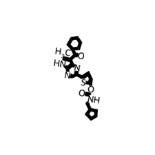 CC1(C(=O)c2c[nH]c3ncc(-c4ccc(OC(=O)NCC5CCCC5)s4)nc23)CCCCC1